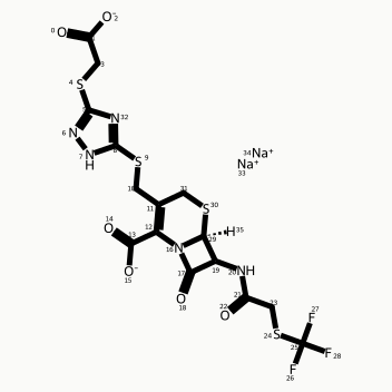 O=C([O-])CSc1n[nH]c(SCC2=C(C(=O)[O-])N3C(=O)C(NC(=O)CSC(F)(F)F)[C@@H]3SC2)n1.[Na+].[Na+]